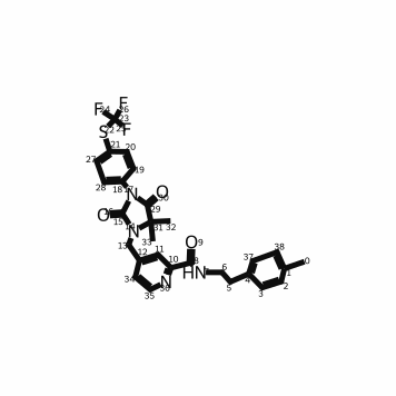 Cc1ccc(CCNC(=O)c2cc(CN3C(=O)N(c4ccc(SC(F)(F)F)cc4)C(=O)C3(C)C)ccn2)cc1